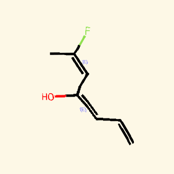 C=C/C=C(O)\C=C(/C)F